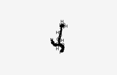 N#Cc1ccc(CN2CCC(NC(=O)c3ncc(C(=O)N4CCN(Cc5ccc(F)cc5)CC4)cc3C#CCNC(=O)COCCOCCNCCCCC[C@@H]3SC[C@@H]4NC(=O)N[C@@H]43)CC2)cc1